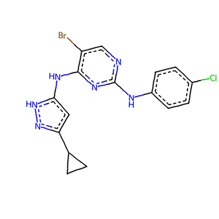 Clc1ccc(Nc2ncc(Br)c(Nc3cc(C4CC4)n[nH]3)n2)cc1